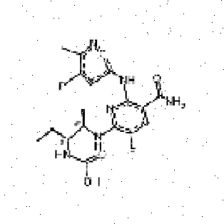 CC[C@H](NC(=O)O)[C@@H](C)Nc1nc(Nc2cnc(C)c(F)c2)c(C(N)=O)cc1F